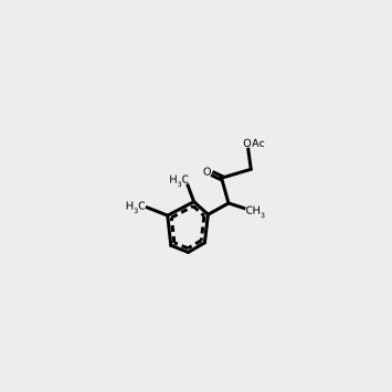 CC(=O)OCC(=O)C(C)c1cccc(C)c1C